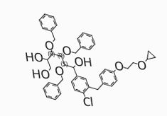 OCC(O)[C@@H](OCc1ccccc1)[C@H](OCc1ccccc1)[C@@H](OCc1ccccc1)C(O)c1ccc(Cl)c(Cc2ccc(OCCOC3CC3)cc2)c1